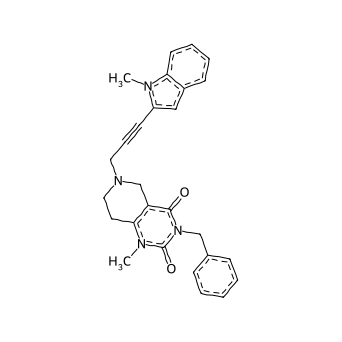 Cn1c2c(c(=O)n(Cc3ccccc3)c1=O)CN(CC#Cc1cc3ccccc3n1C)CC2